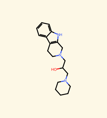 OC(CN1CCCCC1)CN1CCc2c([nH]c3ccccc23)C1